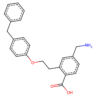 NCc1ccc(C(=O)O)c(CCOc2ccc(Cc3ccccc3)cc2)c1